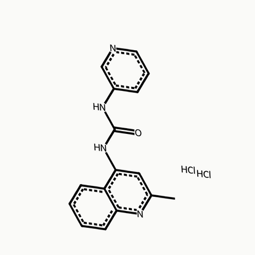 Cc1cc(NC(=O)Nc2cccnc2)c2ccccc2n1.Cl.Cl